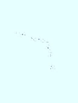 C=CC(=O)OCCCCCC(=O)Oc1ccc(C(=O)Oc2ccc(Oc3ccc(OC(=O)c4ccc(OC(=O)CCCCCOC(=O)C=C)cc4)cc3)cc2)cc1